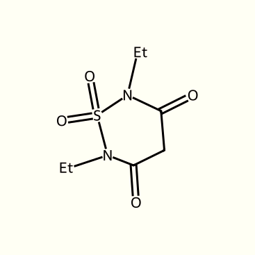 CCN1C(=O)CC(=O)N(CC)S1(=O)=O